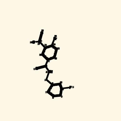 O=C(NCc1cccc(F)c1)c1ccc(Br)c([N+](=O)[O-])c1